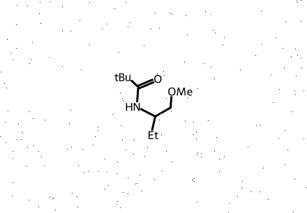 CCC(COC)NC(=O)C(C)(C)C